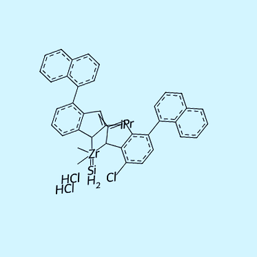 CC1=Cc2c(-c3cccc4ccccc34)ccc(Cl)c2[CH]1[Zr]([CH3])([CH3])(=[SiH2])[CH]1C(C(C)C)=Cc2c(-c3cccc4ccccc34)cccc21.Cl.Cl